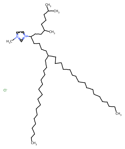 CCCCCCCCCCCCCCCCCCC(CCCCCCCCCCCCCCCCCC)CCCCC(CCC(C)CCCC(C)C)[n+]1ccn(C)c1.[Cl-]